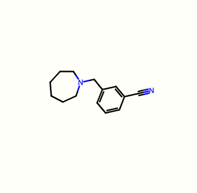 N#Cc1cccc(CN2CCCCCC2)c1